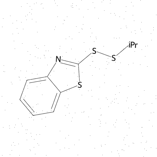 CC(C)SSc1nc2ccccc2s1